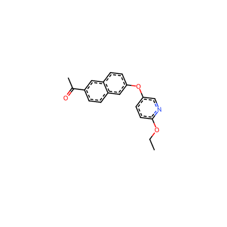 CCOc1ccc(Oc2ccc3cc(C(C)=O)ccc3c2)cn1